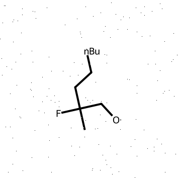 CCCCCCC(C)(F)C[O]